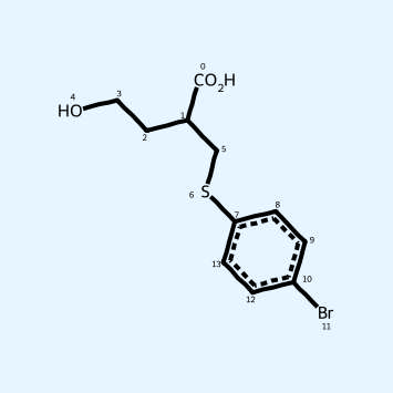 O=C(O)C(CCO)CSc1ccc(Br)cc1